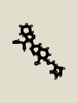 CCCCC(=O)c1c(-c2ccc3c(Cl)c(OCc4nnn[nH]4)ccc3c2)oc2ccccc12